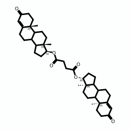 C[C@]12CCC(=O)C=C1CCC1C2CC[C@@]2(C)C1CC[C@@H]2OC(=O)CCC(=O)O[C@@H]1CCC2C3CCC4=CC(=O)CC[C@@]4(C)C3CC[C@]21C